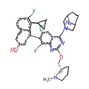 CN1CCC[C@H]1COc1nc(N2CC3CCC(C2)N3)c2cc(Cl)c(-c3cc(O)cc4ccc(F)c(C5CC5)c34)c(F)c2n1